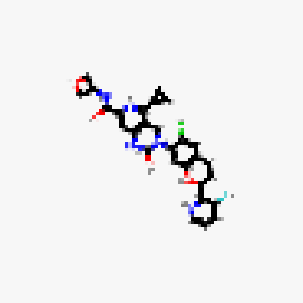 O=C(NC1COC1)c1cc2c(c(C3CC3)n1)CN(c1cc3c(cc1Cl)CCC(c1ncccc1F)O3)C(=O)N2